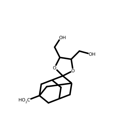 O=C(O)C12CC3CC(C1)C1(OC(CO)C(CO)O1)C(C3)C2